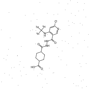 [2H]C([2H])([2H])Nc1cc(Cl)ncc1C(=O)NNC(=O)C1CCC(C(=O)O)CC1